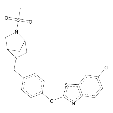 CS(=O)(=O)N1CC2CC1CN2Cc1ccc(Oc2nc3ccc(Cl)cc3s2)cc1